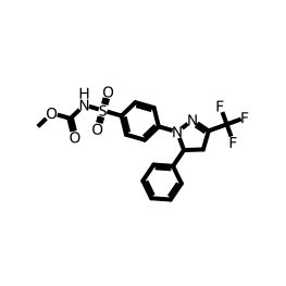 COC(=O)NS(=O)(=O)c1ccc(N2N=C(C(F)(F)F)CC2c2ccccc2)cc1